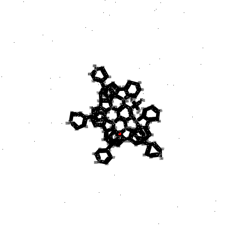 FC(F)(F)c1c(-n2c3ccccc3c3ccccc32)c(-n2c3ccc(-c4ccncc4)cc3c3cc(-c4ccncc4)ccc32)c(-n2c3ccccc3c3ccccc32)c(-n2c3ccc(-c4ccncc4)cc3c3cc(-c4ccncc4)ccc32)c1-n1c2ccccc2c2ccccc21